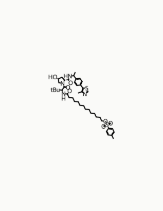 Cc1ccc(S(=O)(=O)OCCCCCCCCCCCCCC(=O)NC(C(=O)N2C[C@H](O)C[C@H]2C(=O)NC(C)c2ccc(-c3scnc3C)cc2)C(C)(C)C)cc1